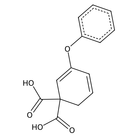 O=C(O)C1(C(=O)O)C=C(Oc2ccccc2)C=CC1